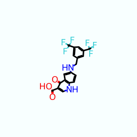 O=C(O)c1c[nH]c2ccc(NCc3cc(C(F)(F)F)cc(C(F)(F)F)c3)cc2c1=O